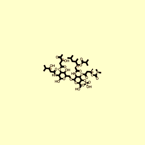 CC(=O)[C@@H](O)CC(=O)OC1C(O)C(COC2OC(CO)C(OP(=O)(O)O)C(OC(=O)C[C@@H](C)OC(=O)P(C)C)C2NC(=O)C[C@H](OC(=O)C(C)C)C(C)CC(C)C)OC(O)C1NC(=O)C[C@H](O)C(C)C